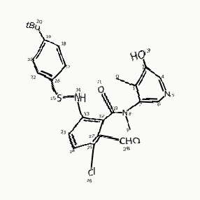 Cc1c(O)cncc1N(C)C(=O)c1c(NSc2ccc(C(C)(C)C)cc2)ccc(Cl)c1C=O